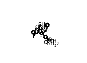 CON(C(N)=O)c1ccc(-c2sc3c(c2CN(C)Cc2ccccc2)c(=O)c(C(=O)C(C)C)cn3Cc2c(F)cccc2F)cc1